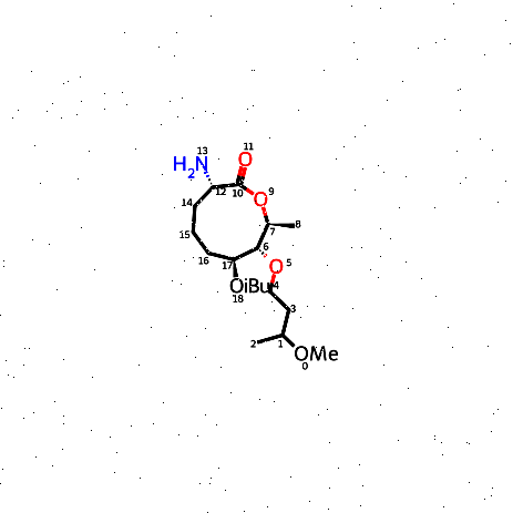 COC(C)CCO[C@H]1[C@H](C)OC(=O)[C@@H](N)CCC[C@@H]1OCC(C)C